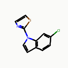 Clc1ccc2ccn(-c3nccs3)c2c1